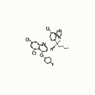 CCCCC(C#N)(Cn1cncn1)c1ccc(Cl)cc1.Fc1ccc(Oc2ccnc3cc(Cl)cc(Cl)c23)cc1